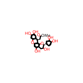 COC(=O)C[C@@H]1c2cc(O)c(O)cc2Oc2cc(O)c3c(c21)O[C@H](c1ccc(O)c(O)c1)C(O)C3